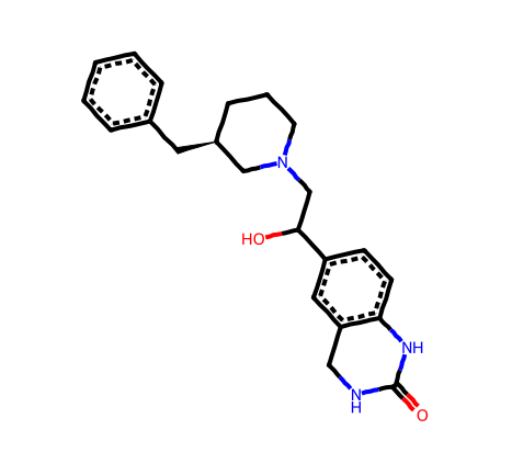 O=C1NCc2cc(C(O)CN3CCC[C@H](Cc4ccccc4)C3)ccc2N1